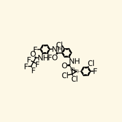 O=C(Nc1ccc(F)c(NC(=O)C(F)(F)C(F)F)c1F)c1cc(NC(=O)[C@H]2[C@H](c3ccc(F)c(Cl)c3)C2(Cl)Cl)ccc1Cl